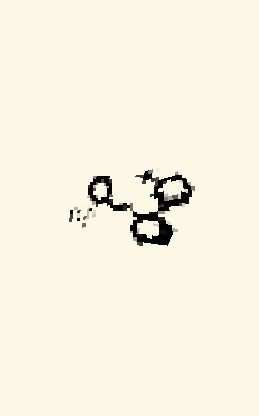 O=[N+]([O-])c1ccccc1/C=N/c1ccccc1-c1cccc(O)c1